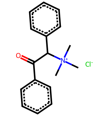 C[N+](C)(C)C(C(=O)c1ccccc1)c1ccccc1.[Cl-]